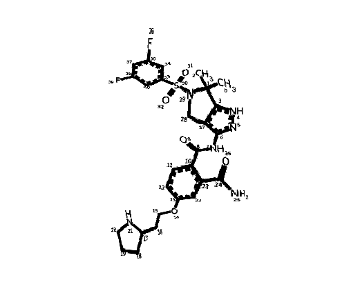 CC1(C)c2[nH]nc(NC(=O)c3ccc(OCCC4CCCN4)cc3C(N)=O)c2CN1S(=O)(=O)c1cc(F)cc(F)c1